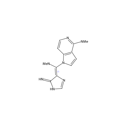 CN/C(=C1/N=CNC1=N)n1ccc2c(NC)nccc21